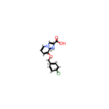 O=C(O)c1cn2cccc(OCc3ccc(Cl)cc3)c2n1